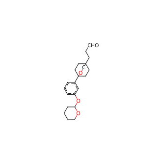 O=CCCC12CCC(c3cccc(OC4CCCCO4)c3)(CC1)OC2